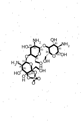 N[C@H]1[C@@H](OC2[C@@H](CO)O[C@@H](OC3[C@@H](CO)O[C@@H](O)[C@H](N)[C@H]3O)[C@H](N)[C@H]2O)O[C@]2(CO)OS(=O)(=O)O[C@@]2(O)[C@@H]1O